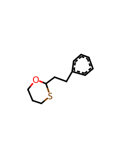 c1ccc(CCC2OCCCS2)cc1